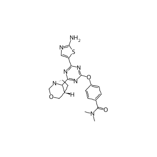 CN(C)C(=O)c1ccc(Oc2nc(-c3cnc(N)s3)nc(C3[C@@H]4CC[N@@]3COC4)n2)cc1